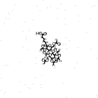 CC(=O)OCC1OC(OC2C(COC(C)=O)OC(OCCCCC(=O)O)C(OC(C)=O)C2OC(C)=O)C(OC(C)=O)C(OC(C)=O)C1OC(C)=O